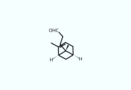 CC1=CC[C@H]2C[C@@H]1[C@]2(C)CCC=O